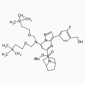 CC(C)(C)OC(=O)N1C2CCC1CC(c1cc(N(COCC[Si](C)(C)C)COCC[Si](C)(C)C)n3ncc(-c4ccc(CO)c(F)c4)c3n1)C2